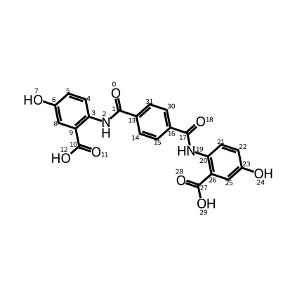 O=C(Nc1ccc(O)cc1C(=O)O)c1ccc(C(=O)Nc2ccc(O)cc2C(=O)O)cc1